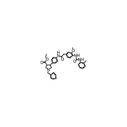 CCOC(=O)C1CN(Cc2ccccc2)CC1c1ccc(NC(=O)Cc2ccc(NC(=O)Nc3ccccc3C)c(OC)c2)cc1